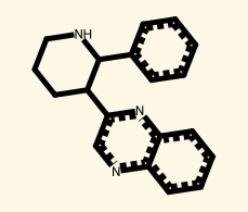 c1ccc(C2NCCCC2c2cnc3ccccc3n2)cc1